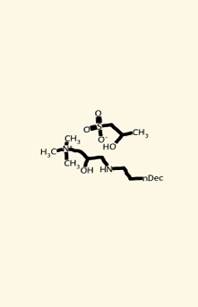 CC(O)CS(=O)(=O)[O-].CCCCCCCCCCCCNCC(O)C[N+](C)(C)C